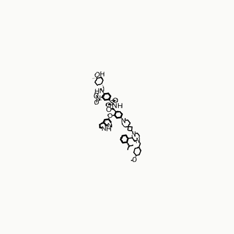 COC1CCC(CN2CCN(C3CC4(CCN(c5ccc(C(=O)NS(=O)(=O)c6ccc(NC[C@H]7CC[C@](C)(O)CC7)c([N+](=O)[O-])c6)c(Oc6cnc7[nH]ccc7c6)c5)CC4)C3)C(c3ccccc3C(C)C)C2)CC1